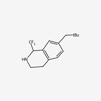 CC(C)(C)Cc1ccc2c(c1)C(C(F)(F)F)NCC2